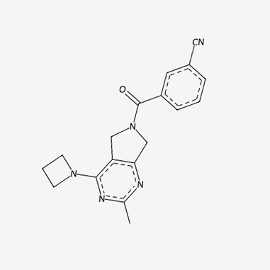 Cc1nc2c(c(N3CCC3)n1)CN(C(=O)c1cccc(C#N)c1)C2